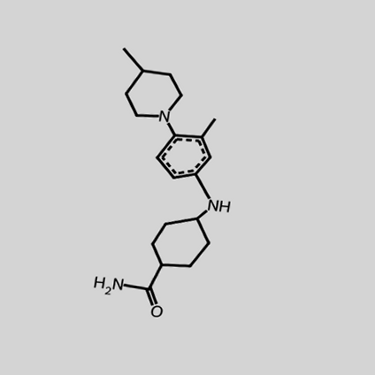 Cc1cc(NC2CCC(C(N)=O)CC2)ccc1N1CCC(C)CC1